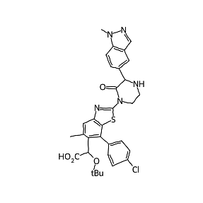 Cc1cc2nc(N3CCNC(c4ccc5c(cnn5C)c4)C3=O)sc2c(-c2ccc(Cl)cc2)c1C(OC(C)(C)C)C(=O)O